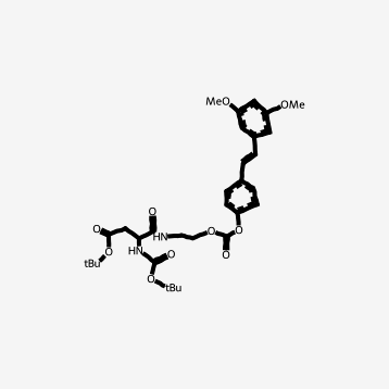 COc1cc(C=Cc2ccc(OC(=O)OCCNC(=O)C(CC(=O)OC(C)(C)C)NC(=O)OC(C)(C)C)cc2)cc(OC)c1